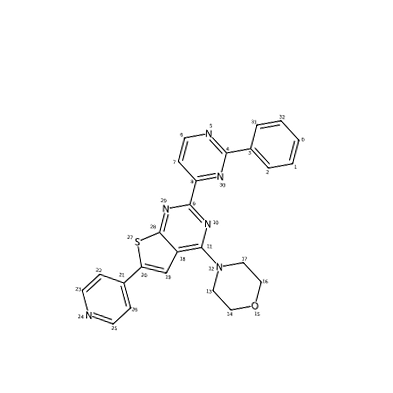 c1ccc(-c2nccc(-c3nc(N4CCOCC4)c4cc(-c5ccncc5)sc4n3)n2)cc1